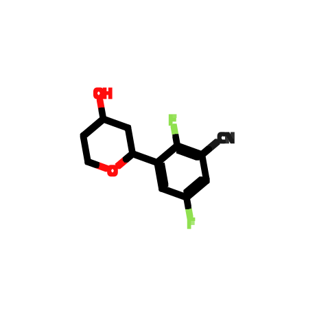 N#Cc1cc(F)cc(C2CC(O)CCO2)c1F